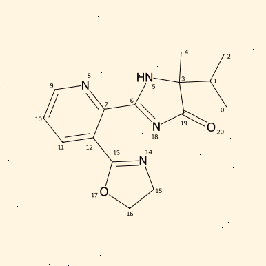 CC(C)C1(C)NC(c2ncccc2C2=NCCO2)=NC1=O